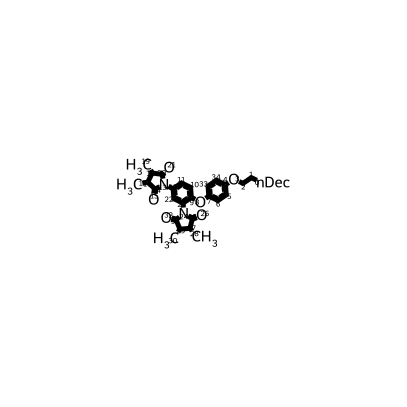 CCCCCCCCCCCCOc1ccc(Oc2ccc(N3C(=O)C(C)C(C)C3=O)cc2N2C(=O)C(C)C(C)C2=O)cc1